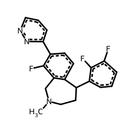 CN1CCC(c2cccc(F)c2F)c2ccc(-c3cccnn3)c(F)c2C1